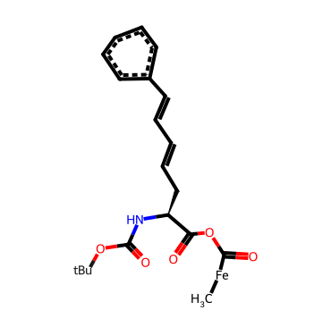 [CH3][Fe][C](=O)OC(=O)[C@H](CC=CC=Cc1ccccc1)NC(=O)OC(C)(C)C